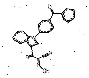 N#C/C(=N\O)C(=O)c1cn(-c2ccc(C(=O)c3ccccc3)cc2)c2ccccc12